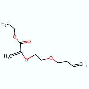 C=CCCOCCOC(=C)C(=O)OCC